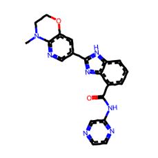 CN1CCOc2cc(-c3nc4c(C(=O)Nc5cnccn5)cccc4[nH]3)cnc21